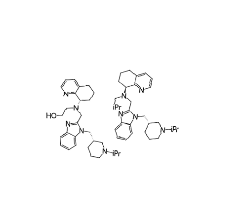 CC(C)CN(Cc1nc2ccccc2n1C[C@H]1CCCN(C(C)C)C1)[C@H]1CCCc2cccnc21.CC(C)N1CCC[C@H](Cn2c(CN(CCO)[C@H]3CCCc4cccnc43)nc3ccccc32)C1